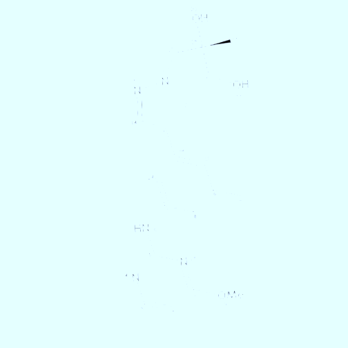 COc1ccnc(Nc2cc(C)cc(-c3cnn(C[C@](C)(O)CO)c3)c2)n1